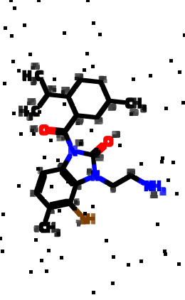 Cc1ccc2c(c1S)n(CCN)c(=O)n2C(=O)C1CC(C)CCC1C(C)C